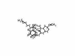 CNCC(CC1CCC(OC)CC1)N1CCC[C@@H]([C@@](O)(CCCCOC)c2cccc(F)c2F)C1